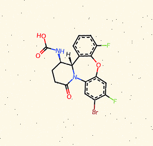 O=C(O)N[C@@H]1CCC(=O)N2c3cc(Br)c(F)cc3Oc3c(F)cccc3[C@@H]12